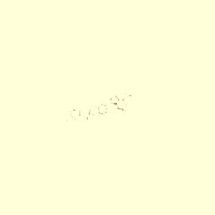 Cc1cccc(NC(=O)Nc2ccc(-c3csc4c(/C=C/C(=O)O)cnc(N)c34)cc2)c1